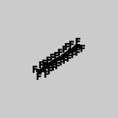 F[C](F)C(F)(F)C(F)(F)C(F)(F)C(F)(F)C(F)(F)C(F)(F)C(F)(F)C(F)(F)C(F)(F)C(F)F